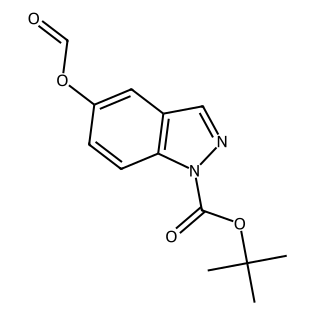 CC(C)(C)OC(=O)n1ncc2cc(OC=O)ccc21